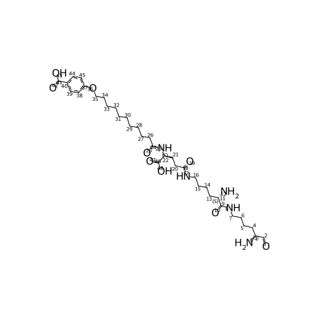 N[C@H](C=O)CCCCNC(=O)[C@@H](N)CCCCNC(=O)CC[C@H](NC(=O)CCCCCCCCCCOc1ccc(C(=O)O)cc1)C(=O)O